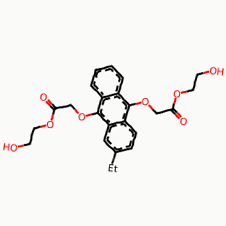 CCc1ccc2c(OCC(=O)OCCO)c3ccccc3c(OCC(=O)OCCO)c2c1